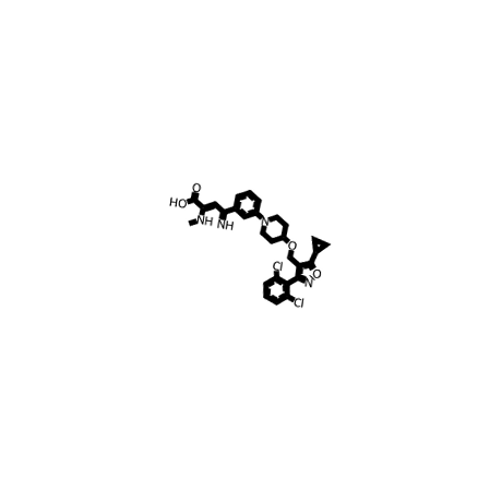 CN/C(=C\C(=N)c1cccc(N2CCC(OCc3c(-c4c(Cl)cccc4Cl)noc3C3CC3)CC2)c1)C(=O)O